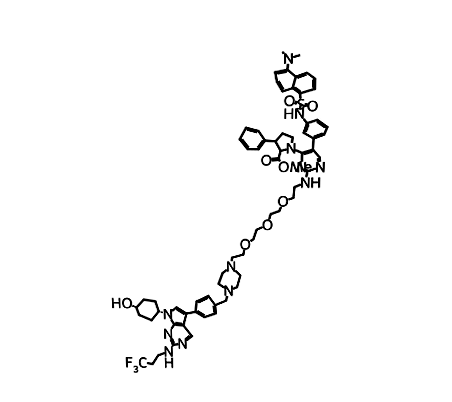 COC(=O)C1C(c2ccccc2)CCN1c1nc(NCCOCCOCCOCCN2CCN(Cc3ccc(-c4cn([C@H]5CC[C@H](O)CC5)c5nc(NCCC(F)(F)F)ncc45)cc3)CC2)ncc1-c1cccc(NS(=O)(=O)c2cccc3c(N(C)C)cccc23)c1